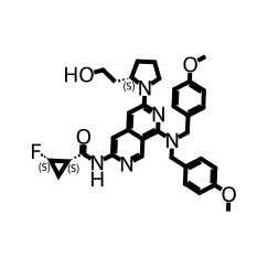 COc1ccc(CN(Cc2ccc(OC)cc2)c2nc(N3CCC[C@H]3CCO)cc3cc(NC(=O)[C@@H]4C[C@@H]4F)ncc23)cc1